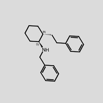 c1ccc(CC[C@H]2CCCC[C@@H]2NCc2ccccc2)cc1